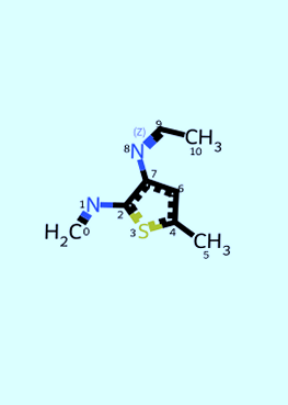 C=Nc1sc(C)cc1/N=C\C